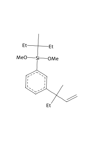 C=CC(C)(CC)c1cccc([Si](OC)(OC)C(C)(CC)CC)c1